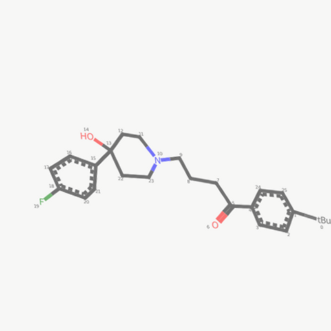 CC(C)(C)c1ccc(C(=O)CCCN2CCC(O)(c3ccc(F)cc3)CC2)cc1